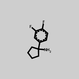 NC1(c2ccc(F)c(F)c2)CCCC1